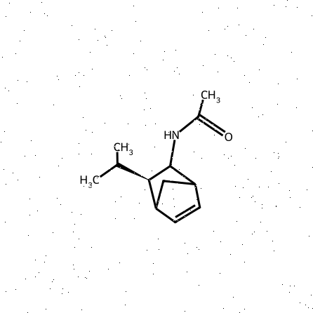 CC(=O)NC1C2C=CC(C2)[C@H]1C(C)C